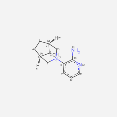 CC1[C@@H]2CC[C@H]1CN(c1cccnc1N)C2